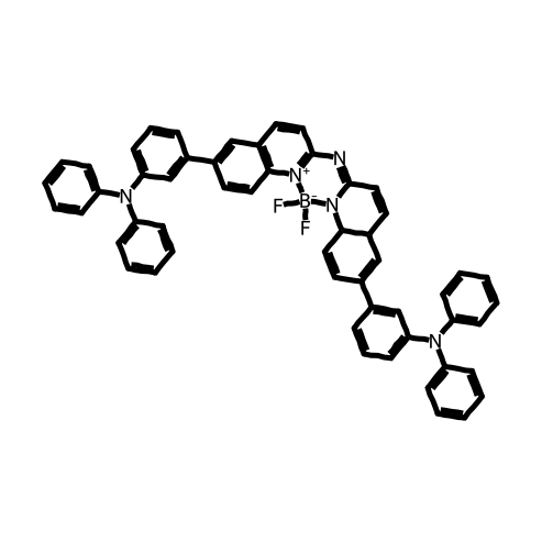 F[B-]1(F)N2C(=Nc3ccc4cc(-c5cccc(N(c6ccccc6)c6ccccc6)c5)ccc4[n+]31)C=CC1C=C(c3cccc(N(c4ccccc4)c4ccccc4)c3)C=CC12